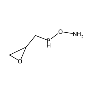 NOPCC1CO1